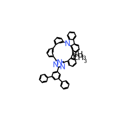 CC1(C)c2c3cccc2-c2ccc4c5ccccc5n(c4c21)-c1cccc(c1)-c1cccc(c1)-c1nc(-c2cc(-c4ccccc4)cc(-c4ccccc4)c2)nc-3n1